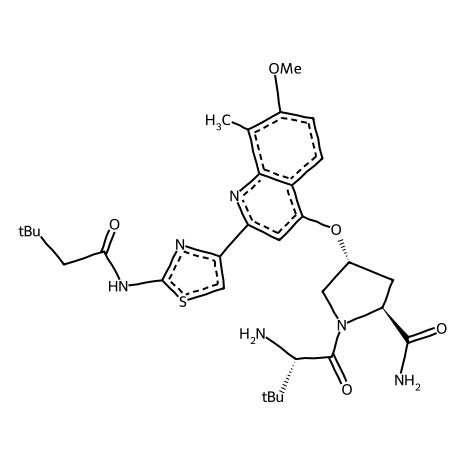 COc1ccc2c(O[C@@H]3C[C@@H](C(N)=O)N(C(=O)[C@@H](N)C(C)(C)C)C3)cc(-c3csc(NC(=O)CC(C)(C)C)n3)nc2c1C